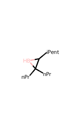 CCCC(C)C1BC1(CCC)CCC